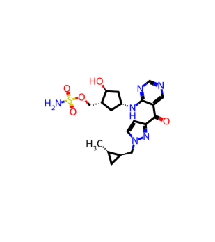 C[C@H]1C[C@@H]1Cn1ccc(C(=O)c2cncnc2N[C@@H]2C[C@H](COS(N)(=O)=O)[C@@H](O)C2)n1